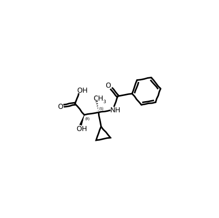 C[C@](NC(=O)c1ccccc1)(C1CC1)[C@@H](O)C(=O)O